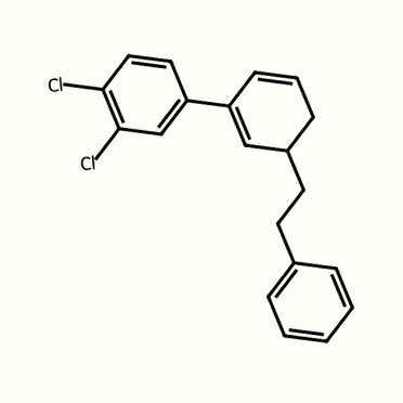 Clc1ccc(C2=CC(CCc3ccccc3)CC=C2)cc1Cl